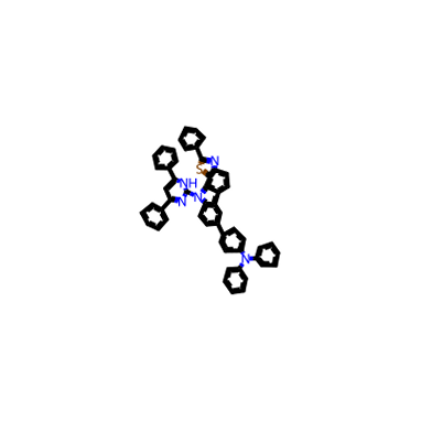 C1=C(c2ccccc2)NC(n2c3ccc(-c4ccc(N(c5ccccc5)c5ccccc5)cc4)cc3c3ccc4nc(-c5ccccc5)sc4c32)N=C1c1ccccc1